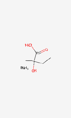 CCC(C)(O)C(=O)O.[BiH3]